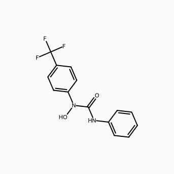 O=C(Nc1ccccc1)N(O)c1ccc(C(F)(F)F)cc1